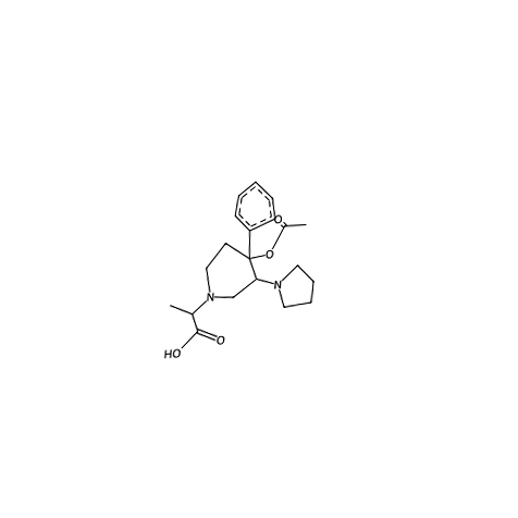 CC(=O)OC1(c2ccccc2)CCN(C(C)C(=O)O)CC1N1CCCC1